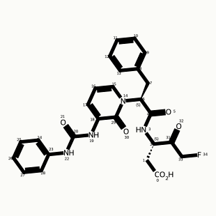 O=C(O)C[C@H](NC(=O)[C@H](Cc1ccccc1)n1cccc(NC(=O)Nc2ccccc2)c1=O)C(=O)CF